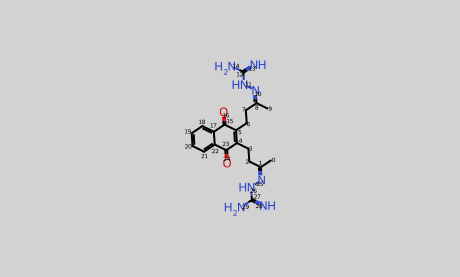 C/C(CCC1=C(CC/C(C)=N\NC(=N)N)C(=O)c2ccccc2C1=O)=N/NC(=N)N